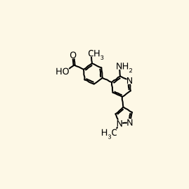 Cc1cc(-c2cc(-c3cnn(C)c3)cnc2N)ccc1C(=O)O